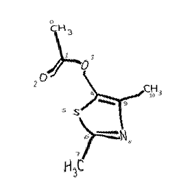 CC(=O)Oc1sc(C)nc1C